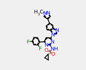 Cn1cc(-c2ccc3c(c2)ncn3-c2cc(-c3ccc(F)cc3F)nc(NS(=O)(=O)C3CC3)n2)cn1